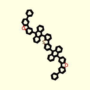 c1ccc(-c2ccc3oc4ccc(-c5c6ccccc6c(-c6ccc7sc8c(-c9c%10ccccc%10c(-c%10ccc%11oc%12ccc(-c%13ccccc%13)cc%12c%11c%10)c%10ccccc9%10)cccc8c7c6)c6ccccc56)cc4c3c2)cc1